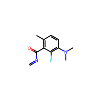 C=NC(=O)c1c(C)ccc(N(C)C)c1F